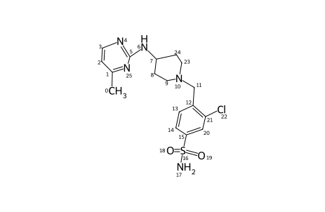 Cc1ccnc(NC2CCN(Cc3ccc(S(N)(=O)=O)cc3Cl)CC2)n1